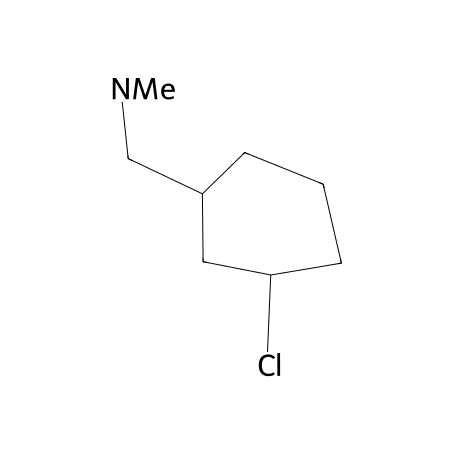 CNCC1CCCC(Cl)C1